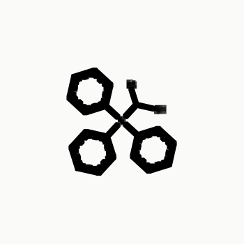 CCC(S)[Si](c1ccccc1)(c1ccccc1)c1ccccc1